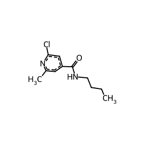 CCCCNC(=O)c1cc(C)nc(Cl)c1